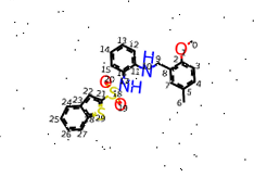 COc1ccc(C)cc1CNc1ccccc1NS(=O)(=O)c1cc2ccccc2s1